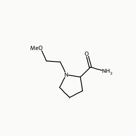 COCCN1C[CH]CC1C(N)=O